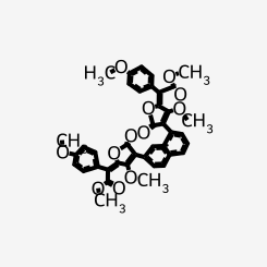 COC(=O)/C(=C1/OC(=O)C(c2ccc3cccc(C4=C(OC)/C(=C(\C(=O)OC)c5ccc(OC)cc5)OC4=O)c3c2)=C1OC)c1ccc(OC)cc1